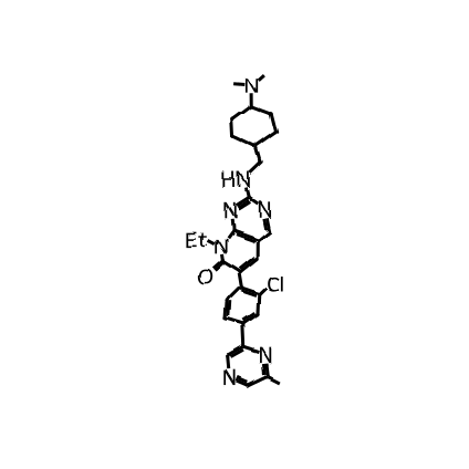 CCn1c(=O)c(-c2ccc(-c3cncc(C)n3)cc2Cl)cc2cnc(NCC3CCC(N(C)C)CC3)nc21